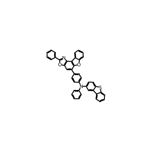 c1ccc(-c2nc3c(cc(-c4ccc(N(c5ccccc5)c5ccc6sc7ccccc7c6c5)cc4)c4oc5ccccc5c43)o2)cc1